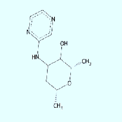 C[C@@H]1CC(Nc2cnccn2)C(O)[C@H](C)O1